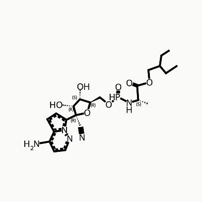 CCC(CC)COC(=O)[C@H](C)N[PH](=O)OC[C@H]1O[C@@](C#N)(c2ccc3c(N)ccnn23)[C@H](O)[C@@H]1O